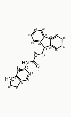 O=C(Nc1ncc2c(n1)NCC2)OCC1c2ccccc2-c2ccccc21